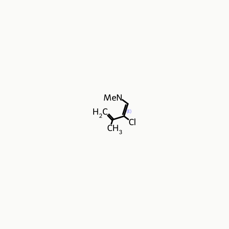 C=C(C)/C(Cl)=C\NC